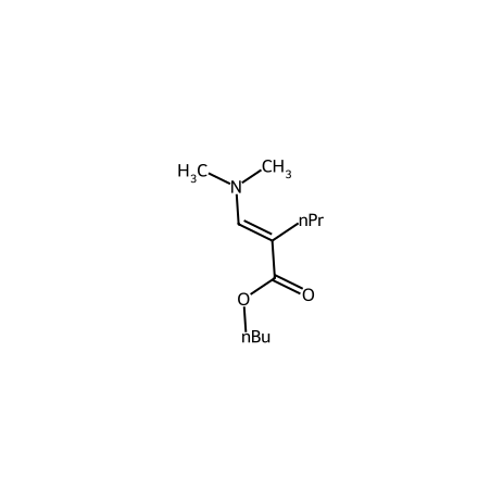 CCCCOC(=O)C(=CN(C)C)CCC